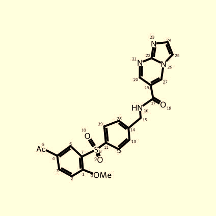 COc1ccc(C(C)=O)cc1S(=O)(=O)c1ccc(CNC(=O)c2cnc3nccn3c2)cc1